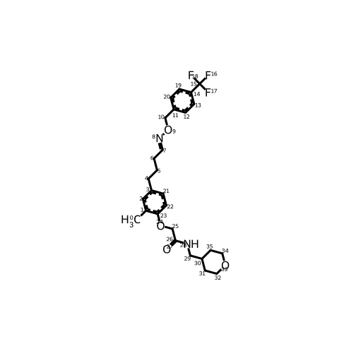 Cc1cc(CCCC=NOCc2ccc(C(F)(F)F)cc2)ccc1OCC(=O)NCC1CCOCC1